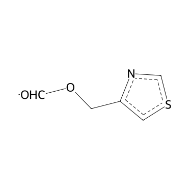 O=[C]OCc1cscn1